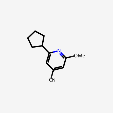 COc1cc(C#N)cc(C2CCCC2)n1